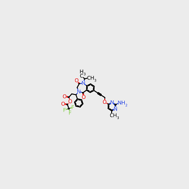 Cc1cc(OCC#Cc2ccc3c(c2)C(=O)N(C(CC(=O)OC(=O)C(F)(F)F)c2ccccc2)CC(=O)N3C(C)C)nc(N)n1